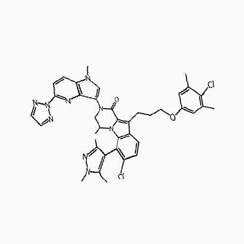 Cc1cc(OCCCc2c3n(c4c(-c5c(C)nn(C)c5C)c(Cl)ccc24)C(C)CN(c2cn(C)c4ccc(-n5nccn5)nc24)C3=O)cc(C)c1Cl